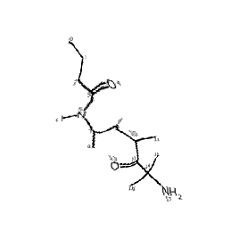 CCCC(=O)N(I)C(C)CC(C)C(=O)C(C)(C)N